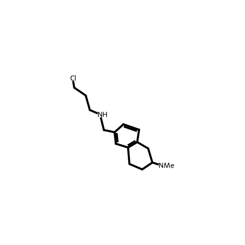 CNC1CCc2cc(CNCCCCl)ccc2C1